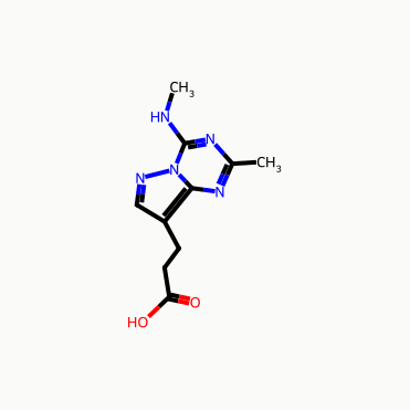 CNc1nc(C)nc2c(CCC(=O)O)cnn12